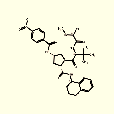 CN[C@@H](C)C(=O)N[C@H](C(=O)N1C[C@@H](NC(=O)c2ccc([N+](=O)[O-])cc2)C[C@H]1C(=O)N[C@@H]1CCCc2ccccc21)C(C)(C)C